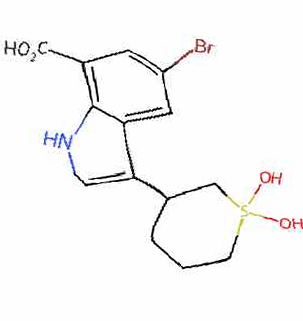 O=C(O)c1cc(Br)cc2c(C3CCCS(O)(O)C3)c[nH]c12